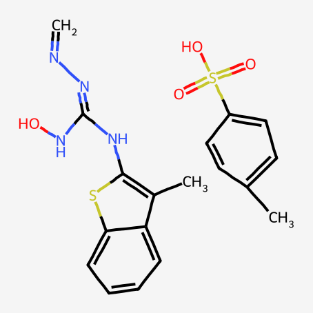 C=NN=C(NO)Nc1sc2ccccc2c1C.Cc1ccc(S(=O)(=O)O)cc1